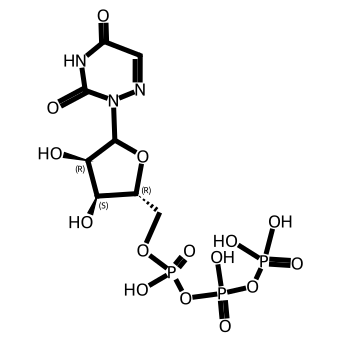 O=c1cnn(C2O[C@H](COP(=O)(O)OP(=O)(O)OP(=O)(O)O)[C@@H](O)[C@H]2O)c(=O)[nH]1